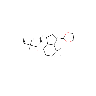 C=C[C@@](C)(CC)[C@@H](O)C(=C)[C@]12CC[C@@H](C3OCCO3)C1[C@](C)(C(C)=O)[C@H](C)CC2